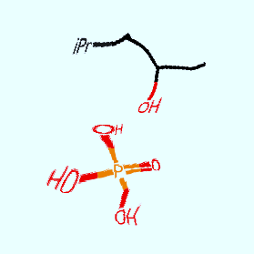 CC(C)CC(C)O.O=P(O)(O)O